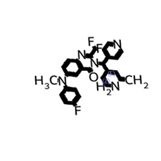 C=C/C=C(\C=C/N)C(c1ccncc1)n1c(C(F)F)nc2ccc(N(C)c3ccc(F)cc3)cc2c1=O